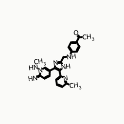 CNn1cc(-c2nc(CNc3ccc(C(C)=O)cc3)[nH]c2-c2cccc(C)n2)ccc1=N